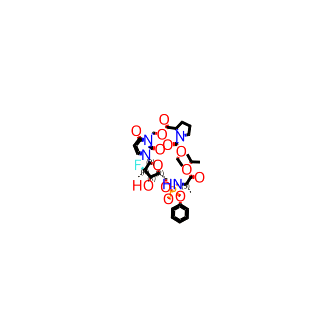 CCOC(=O)N1CCCC1C(=O)OCn1c(=O)ccn([C@@H]2O[C@H](COP(=O)(N[C@@H](C)C(=O)OC(C)C)Oc3ccccc3)[C@@H](O)[C@@]2(C)F)c1=O